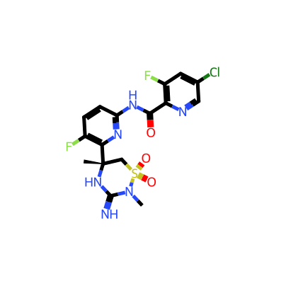 CN1C(=N)N[C@](C)(c2nc(NC(=O)c3ncc(Cl)cc3F)ccc2F)CS1(=O)=O